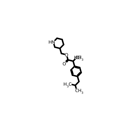 CC(C)Cc1ccc(C(C)C(=O)OCC2CCCNC2)cc1.Cl